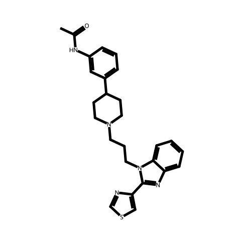 CC(=O)Nc1cccc(C2CCN(CCCn3c(-c4cscn4)nc4ccccc43)CC2)c1